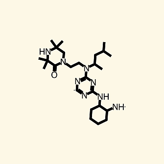 CC(C)CC(C)N(CCN1CC(C)(C)NC(C)(C)C1=O)c1n[c]nc(NC2CCCCC2[NH])n1